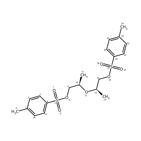 Cc1ccc(S(=O)(=O)OC[C@@H](C)O[C@H](C)COS(=O)(=O)c2ccc(C)cc2)cc1